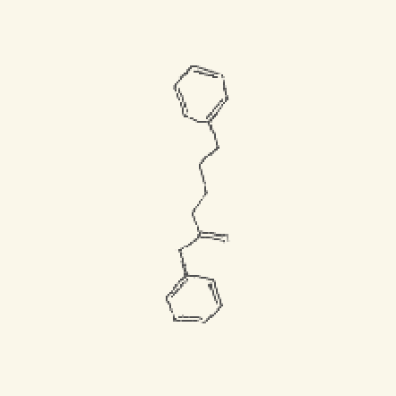 O=C([CH]c1ccccc1)CCCCc1ccccc1